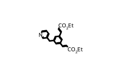 CCOC(=O)/C=C/c1cc(/C=C/C(=O)OCC)cc(Cc2cccnc2)c1